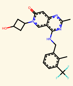 Cc1nc(NCc2cccc(C(F)(F)F)c2C)c2cn(C3CC(O)C3)c(=O)cc2n1